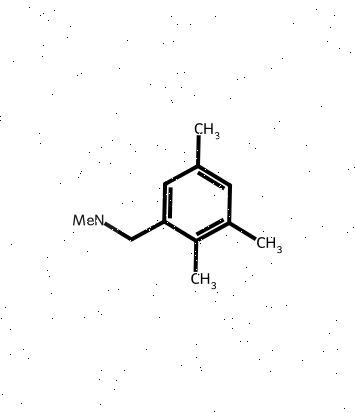 CNCc1cc(C)cc(C)c1C